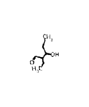 CCCC(O)C(C=O)CC